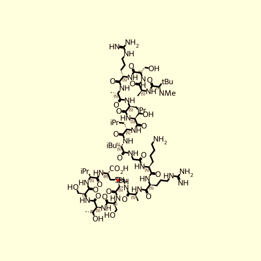 CC[C@H](C)[C@H](NC(=O)[C@H](C)NC(=O)[C@H](CCCNC(=N)N)NC(=O)[C@H](CCCCN)NC(=O)CNC(=O)[C@@H](NC(=O)[C@H](CC(C)C)NC(=O)[C@H](CO)NC(=O)[C@H](CC(C)C)NC(=O)[C@H](C)NC(=O)[C@H](CCCNC(=N)N)NC(=O)[C@H](CO)NC(=O)[C@H](C)NC(=O)[C@@H](NC)C(C)(C)C)[C@@H](C)CC)C(=O)N[C@@H](CO)C(=O)N[C@H](C(=O)N[C@@H](CO)C(=O)N[C@H](C(=O)N[C@@H](CS)C(=O)O)C(C)C)[C@@H](C)O